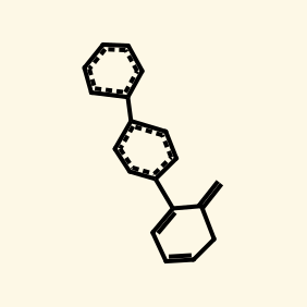 C=C1CC=CC=C1c1ccc(-c2ccccc2)cc1